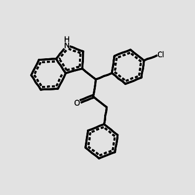 O=C(Cc1ccccc1)C(c1ccc(Cl)cc1)c1c[nH]c2ccccc12